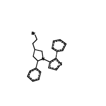 BrCCC1CC(c2ccccc2)N(c2ccsc2-c2ccccc2)C1